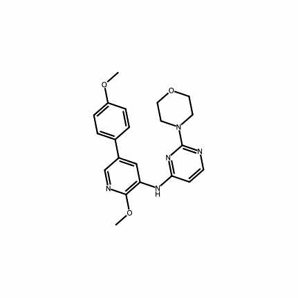 COc1ccc(-c2cnc(OC)c(Nc3ccnc(N4CCOCC4)n3)c2)cc1